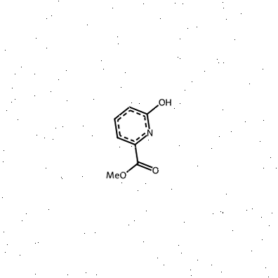 COC(=O)c1cccc(O)n1